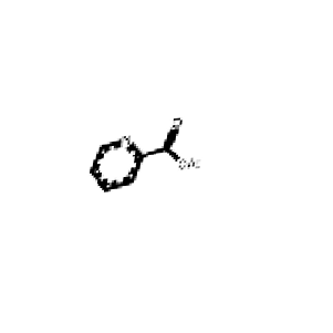 CC(=O)OC(=O)c1ccccn1